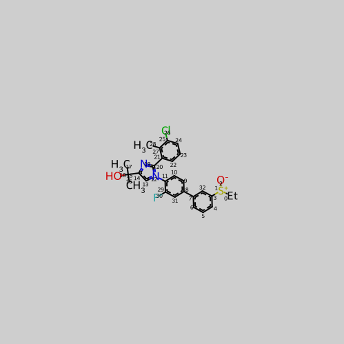 CC[S+]([O-])c1cccc(-c2ccc(-n3cc(C(C)(C)O)nc3-c3cccc(Cl)c3C)c(F)c2)c1